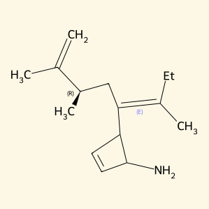 C=C(C)[C@H](C)C/C(=C(/C)CC)C1C=CC1N